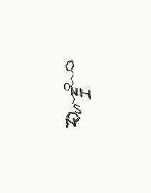 O=C(CCCc1ccccc1)NCCCSc1ccncc1